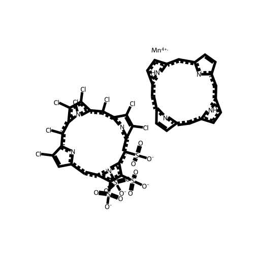 C1=Cc2cc3ccc(cc4nc(cc5ccc(cc1n2)[nH]5)C=C4)[nH]3.O=S(=O)([O-])c1c(S(=O)(=O)[O-])c2c(S(=O)(=O)[O-])c3nc(c(Cl)c4c(Cl)c(Cl)c(c(Cl)c5nc(cc1n2S(=O)(=O)[O-])C=C5Cl)n4Cl)C(Cl)=C3Cl.[Mn+4]